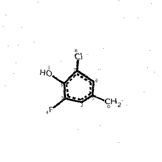 [CH2]c1cc(F)c(O)c(Cl)c1